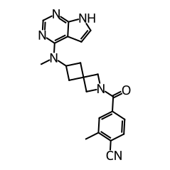 Cc1cc(C(=O)N2CC3(CC(N(C)c4ncnc5[nH]ccc45)C3)C2)ccc1C#N